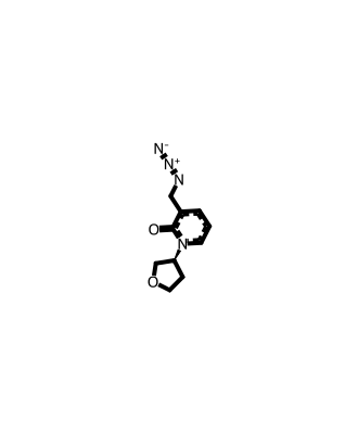 [N-]=[N+]=NCc1cccn([C@H]2CCOC2)c1=O